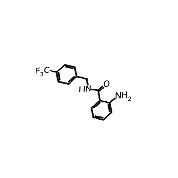 Nc1ccccc1C(=O)NCc1ccc(C(F)(F)F)cc1